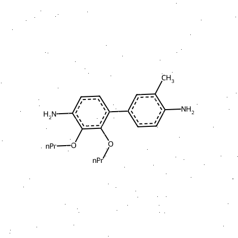 CCCOc1c(N)ccc(-c2ccc(N)c(C)c2)c1OCCC